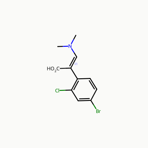 CN(C)/C=C(\C(=O)O)c1ccc(Br)cc1Cl